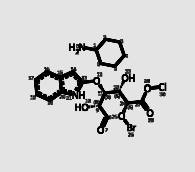 NC1CCCCC1.O=C[C@H](O)[C@@H](Oc1cc2ccccc2[nH]1)[C@H](O)[C@H](OBr)C(=O)OCl